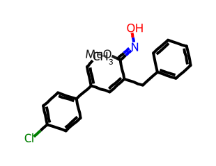 C\C=C(/C=C(Cc1ccccc1)\C(=N\O)OC)c1ccc(Cl)cc1